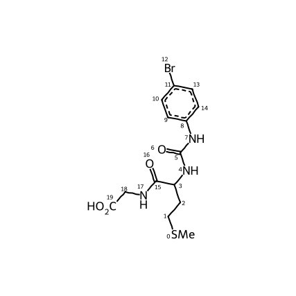 CSCCC(NC(=O)Nc1ccc(Br)cc1)C(=O)NCC(=O)O